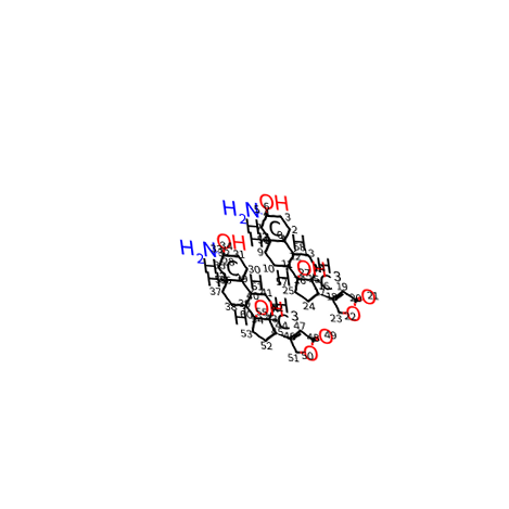 C[C@]12CC[C@](N)(O)C[C@H]1CC[C@@H]1[C@@H]2CC[C@]2(C)[C@@H](C3=CC(=O)OC3)CC[C@]12O.C[C@]12CC[C@](N)(O)C[C@H]1CC[C@@H]1[C@@H]2CC[C@]2(C)[C@@H](C3=CC(=O)OC3)CC[C@]12O